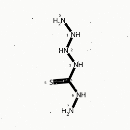 NNNNC(=S)NN